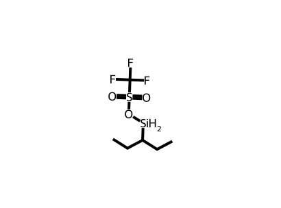 CCC(CC)[SiH2]OS(=O)(=O)C(F)(F)F